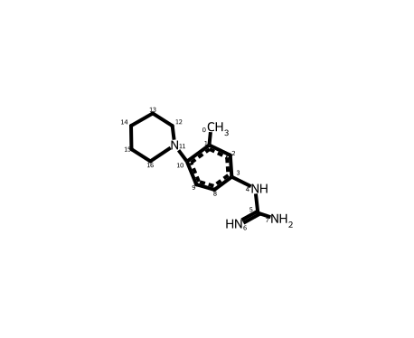 Cc1cc(NC(=N)N)ccc1N1CCCCC1